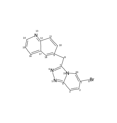 Brc1ccc2nnc(Cc3ccc4ncccc4c3)n2c1